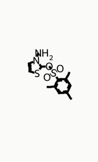 Cc1cc(C)c(S(=O)(=O)OC2SC=CN2N)c(C)c1